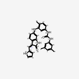 Cc1cc(C)cc(NC(=O)Nc2ccc(C)c(Nc3ccc4c(c3)NC(=O)/C4=C\c3ccc[nH]3)c2)c1